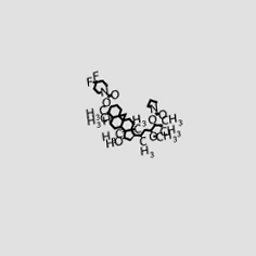 COC(C[C@@H](C)[C@H]1C[C@H](O)[C@@]2(C)C3CC[C@H]4C(C)(C)C(OC(=O)N5CCC(F)(F)CC5)CCC45CC35CCC12C)C(OC(=O)N1CCC1)C(C)C